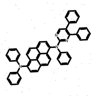 c1ccc(-c2cnc(N(c3ccccc3)c3ccc4ccc5c(N(c6ccccc6)c6ccccc6)ccc6ccc3c4c65)nc2-c2ccccc2)cc1